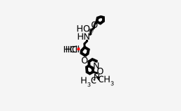 CN(C)C(=O)c1cccc2c(Oc3ccc(CCNC[C@H](O)COc4ccccc4)cc3)ccnc12.Cl.Cl